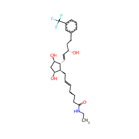 CCNC(=O)CCC/C=C/C[C@@H]1[C@@H](/C=C/[C@@H](O)CCc2cccc(C(F)(F)F)c2)[C@H](O)C[C@@H]1O